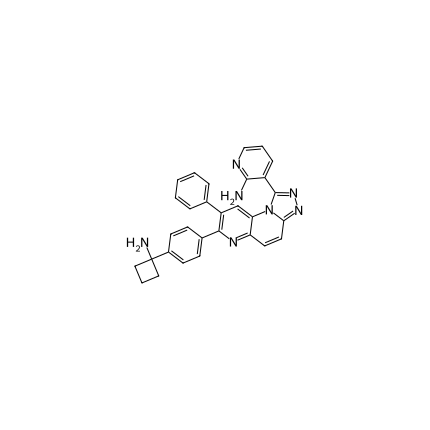 Nc1ncccc1-c1nnc2ccc3nc(-c4ccc(C5(N)CCC5)cc4)c(-c4ccccc4)cc3n12